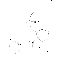 O=C(Nc1ccccc1)c1ccccc1NS(=O)(=O)CCO